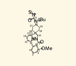 COc1ccccc1C(=O)NC[C@]1(c2ccccc2)CC[C@@H](N(C(=O)N=S)C(C)(C)C)CC1